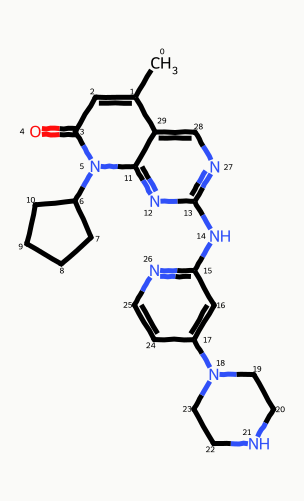 Cc1cc(=O)n(C2CCCC2)c2nc(Nc3cc(N4CCNCC4)ccn3)ncc12